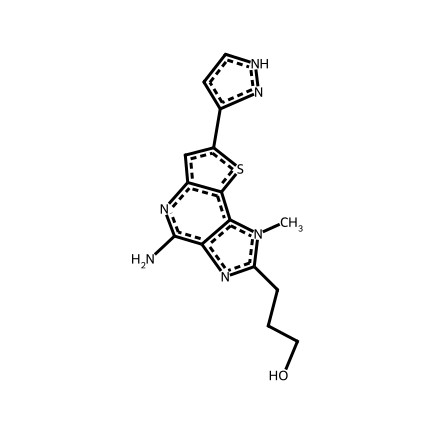 Cn1c(CCCO)nc2c(N)nc3cc(-c4cc[nH]n4)sc3c21